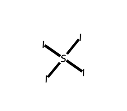 IS(I)(I)I